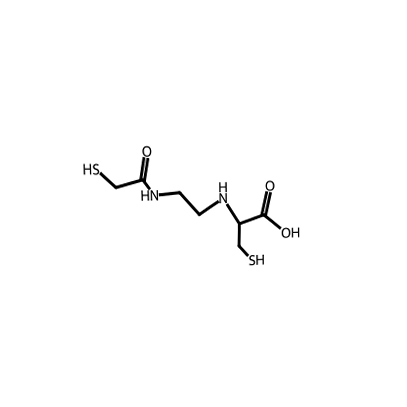 O=C(CS)NCCNC(CS)C(=O)O